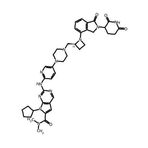 CN(C)C(=O)c1cc2cnc(Nc3ccc(N4CCN(C[C@@H]5CCN5c5cccc6c5CN(C5CCC(=O)NC5=O)C6=O)CC4)cn3)nc2n1C1CCCC1